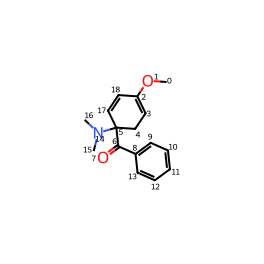 COC1=CCC(C(=O)c2ccccc2)(N(C)C)C=C1